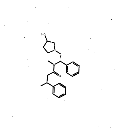 CN(CC(=O)N(C)[C@H](CN1CCC(O)C1)c1ccccc1)c1ccccc1